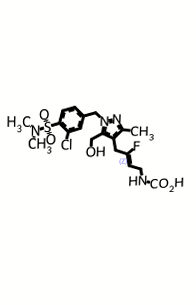 Cc1nn(Cc2ccc(S(=O)(=O)N(C)C)c(Cl)c2)c(CO)c1C/C(F)=C/CNC(=O)O